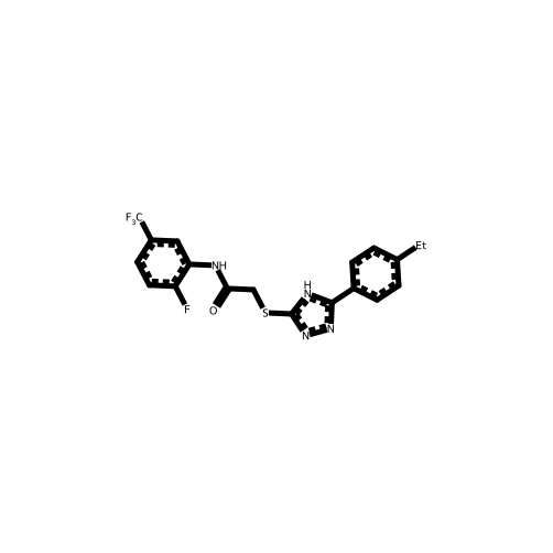 CCc1ccc(-c2nnc(SCC(=O)Nc3cc(C(F)(F)F)ccc3F)[nH]2)cc1